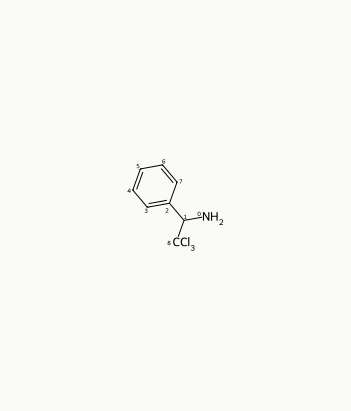 NC(c1ccccc1)C(Cl)(Cl)Cl